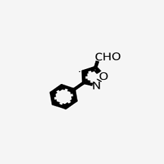 O=Cc1[c]c(-c2ccccc2)no1